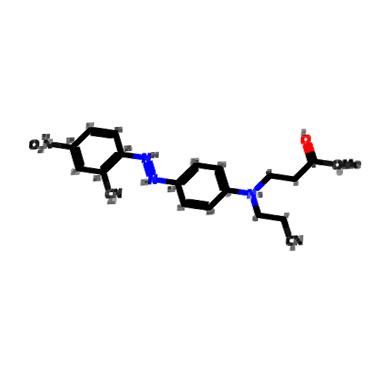 COC(=O)CCN(CCC#N)c1ccc(/N=N/c2ccc([N+](=O)[O-])cc2C#N)cc1